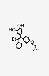 CC/C(=C(/c1ccc(OCCN(C)C)cc1)c1ccc(O)c(O)c1)c1ccccc1